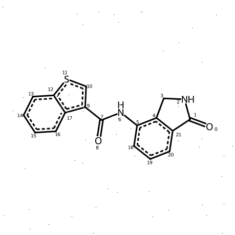 O=C1NCc2c(NC(=O)c3csc4ccccc34)cccc21